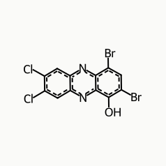 Oc1c(Br)cc(Br)c2nc3cc(Cl)c(Cl)cc3nc12